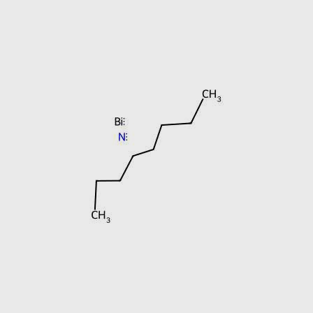 CCCCCCCC.[Bi].[N]